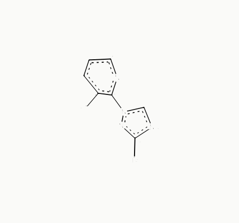 Clc1cccnc1-n1[c]nc(Br)n1